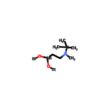 CCO[SiH](CCN(C)[Si](C)(C)C)OCC